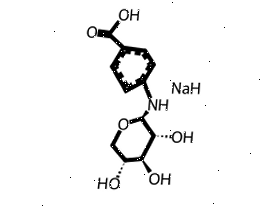 O=C(O)c1ccc(N[C@@H]2OC[C@@H](O)[C@H](O)[C@H]2O)cc1.[NaH]